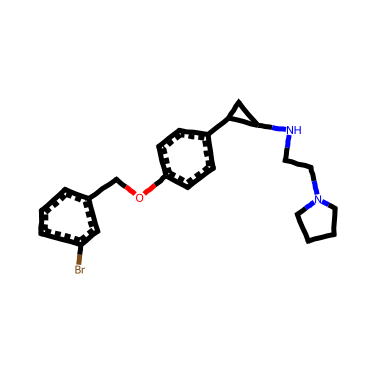 Brc1cccc(COc2ccc(C3CC3NCCN3CCCC3)cc2)c1